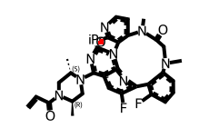 C=CC(=O)N1C[C@H](C)N(c2nc(=O)n3c4nc(c(F)cc24)-c2c(F)cccc2N(C)CC(=O)N(C)c2ccnc(C(C)C)c2-3)C[C@H]1C